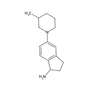 CC1CCCN(c2ccc3c(c2)CCC3N)C1